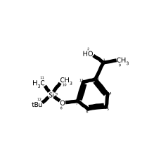 CC(O)c1cccc(O[Si](C)(C)C(C)(C)C)c1